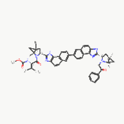 COC(=O)N[C@H](C(=O)N1[C@@H]2C[C@@H]2C[C@H]1c1nc2ccc3cc(-c4ccc5c(ccc6[nH]c([C@@H]7C[C@H]8C[C@H]8N7CC(=O)c7ccccc7)nc65)c4)ccc3c2[nH]1)C(C)C